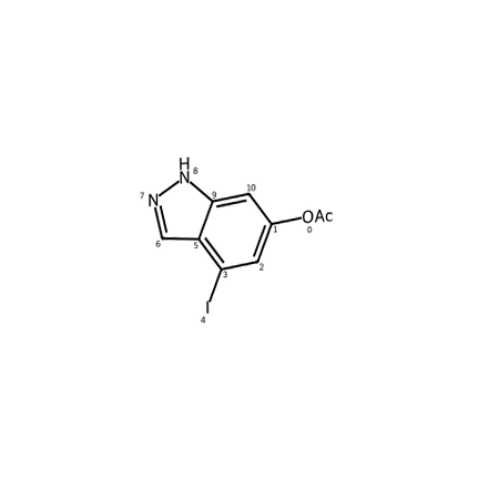 CC(=O)Oc1cc(I)c2cn[nH]c2c1